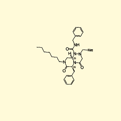 C#CCN1CC(=O)N2[C@@H](Cc3ccccc3)C(=O)N(CCCCCCC)C[C@@H]2N1C(=O)NCc1ccccc1